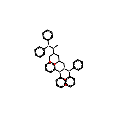 CN(C1CCCC(CN(P(c2ccccc2)c2ccccc2)P(c2ccccc2)c2ccccc2)C1)P(c1ccccc1)c1ccccc1